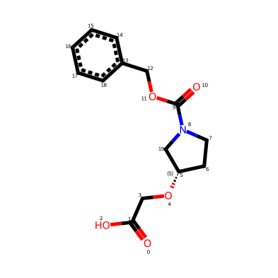 O=C(O)CO[C@H]1CCN(C(=O)OCc2ccccc2)C1